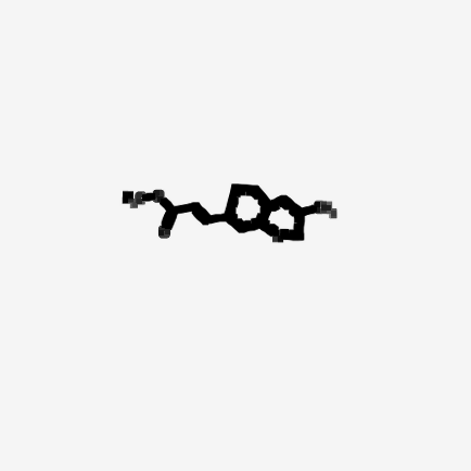 COC(=O)/C=C/c1ccc2cc(C)cnc2c1